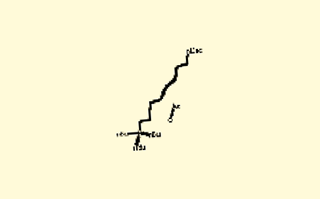 CC(=O)[O-].CCCCCCCCCCCCCCCCCC[N+](CCCC)(CCCC)CCCC